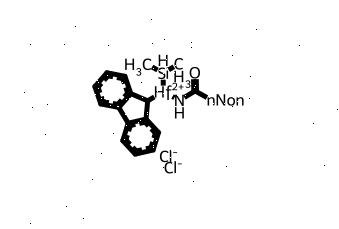 CCCCCCCCCC(=O)[NH][Hf+2]([CH]1c2ccccc2-c2ccccc21)[SiH](C)C.[Cl-].[Cl-]